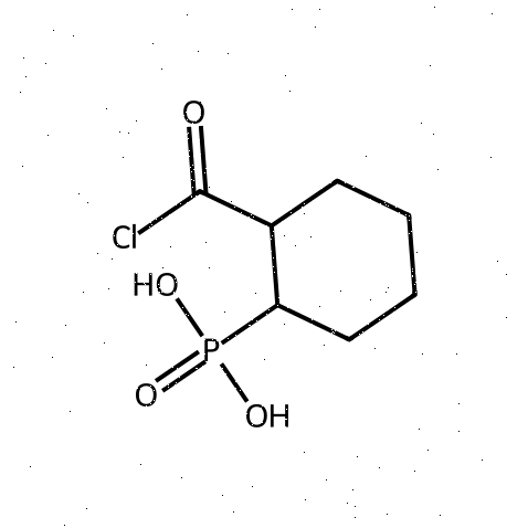 O=C(Cl)C1CCCCC1P(=O)(O)O